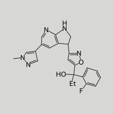 CCC(O)(c1cc(C2CNc3ncc(-c4cnn(C)c4)cc32)no1)c1ccccc1F